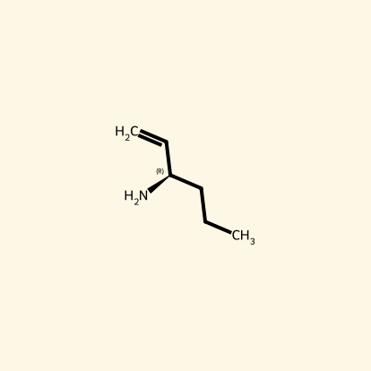 C=C[C@H](N)CCC